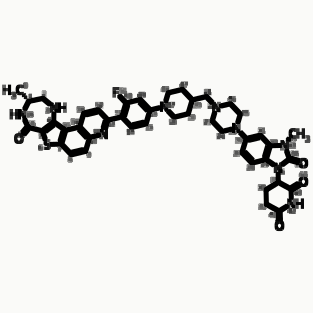 C[C@@H]1CNc2c(sc3ccc4nc(-c5ccc(N6CCC(CN7CCN(c8ccc9c(c8)n(C)c(=O)n9C8CCC(=O)NC8=O)CC7)CC6)cc5F)ccc4c23)C(=O)N1